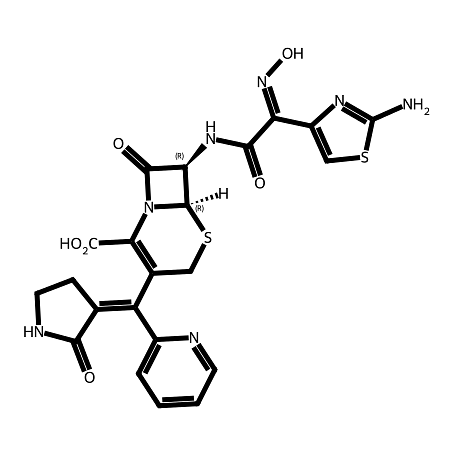 Nc1nc(C(=NO)C(=O)N[C@@H]2C(=O)N3C(C(=O)O)=C(C(=C4CCNC4=O)c4ccccn4)CS[C@H]23)cs1